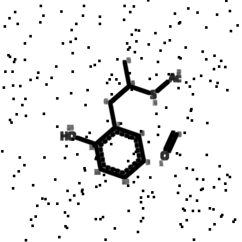 C=O.CC(=O)SC(C)Cc1ccccc1O